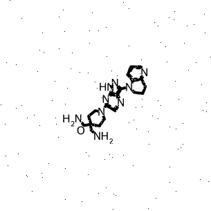 NCC1(C(N)=O)CCN(c2cnc3c(N4CCCc5ncccc54)n[nH]c3n2)CC1